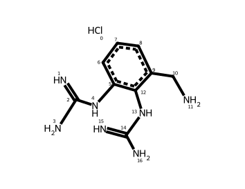 Cl.N=C(N)Nc1[c]ccc(CN)c1NC(=N)N